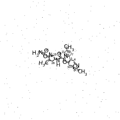 Cc1nc2cc(C3CCC(C)CN3C(=O)C(=O)Nc3cnc(OC(N)=O)c(C)c3)ccc2s1